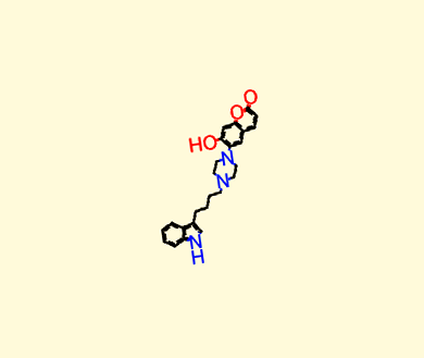 O=c1ccc2cc(N3CCN(CCCCc4c[nH]c5ccccc45)CC3)c(O)cc2o1